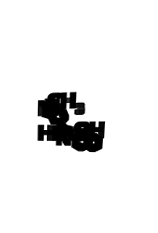 Cn1ncc2cc(-c3cc(-c4ccc5ccccc5c4O)n[nH]3)ccc21